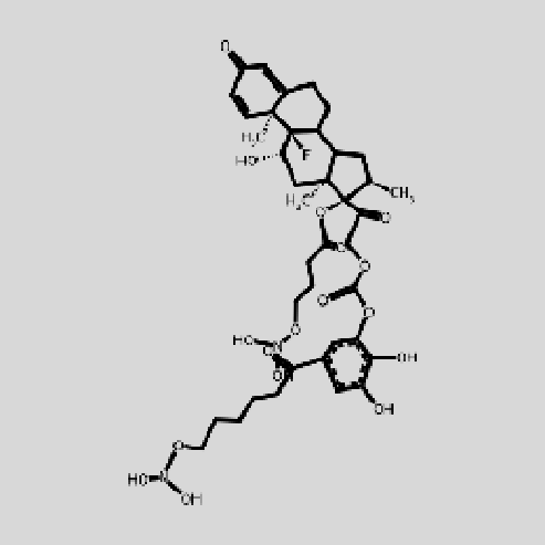 C[C@@H]1CC2C3CCC4=CC(=O)C=C[C@]4(C)[C@@]3(F)[C@@H](O)C[C@]2(C)[C@@]1(OC(=O)CCCON(O)O)C(=O)COC(=O)Oc1cc(C(=O)CCCCCON(O)O)cc(O)c1O